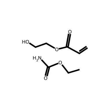 C=CC(=O)OCCO.CCOC(N)=O